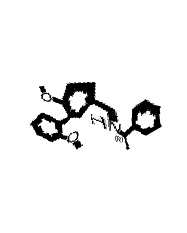 COc1ccccc1-c1cc(CN[C@H](C)c2ccccc2)ccc1OC